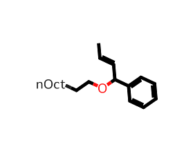 CC=CC(OCCCCCCCCCC)c1ccccc1